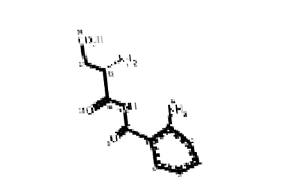 Nc1ccccc1C(=O)NC(=O)[C@@H](N)CC(=O)O